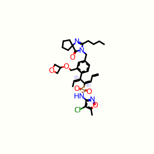 C=C/C=C(\C(=C/C)c1ccc(CN2C(=O)C3(CCCC3)N=C2CCCC)cc1COC1COC1)S(=O)(=O)Nc1noc(C)c1Cl